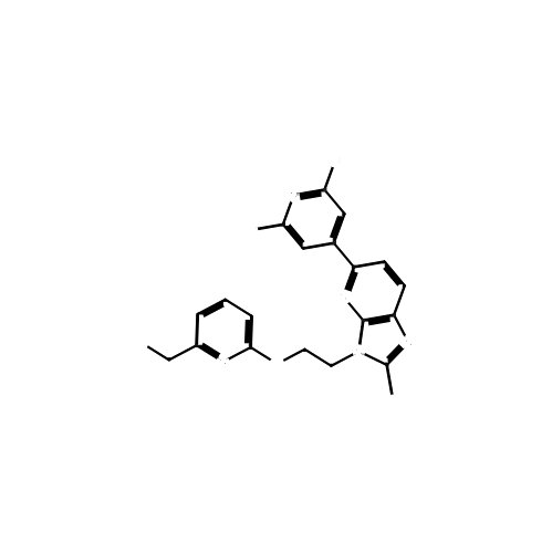 Cc1nc2ccc(-c3cc(N)nc(N)c3)nc2n1CCOc1cccc(CF)n1